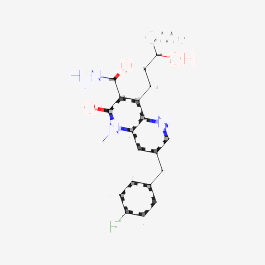 COC(O)CCc1c(C(N)=O)c(=O)n(C)c2cc(Cc3ccc(F)cc3)cnc12